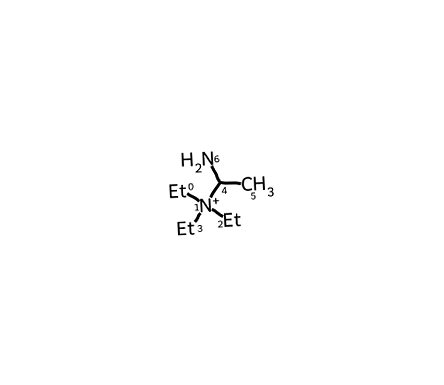 CC[N+](CC)(CC)C(C)N